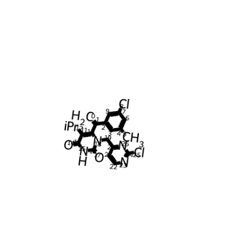 C=C(c1cc(C)cc(Cl)c1)c1c(C(C)C)c(=O)[nH]c(=O)n1Cc1ccnc(Cl)n1